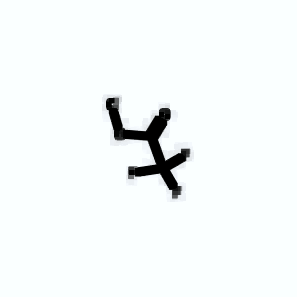 O=C(OCl)C(F)(F)F